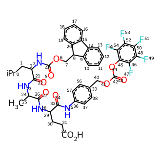 CC(C)CC(NC(=O)OCC1c2ccccc2-c2ccccc21)C(=O)NC(C)C(=O)NC(CCC(=O)O)C(=O)Nc1ccc(COC(=O)Oc2c(F)c(F)c(F)c(F)c2F)cc1